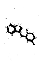 CC1=CC(Cc2csc3ccccc23)N(C)CC1